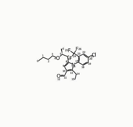 CCCCO[C@@H](C)Cc1cc(C=O)c(CC)n1-c1ccc(Cl)cc1C(F)(F)F